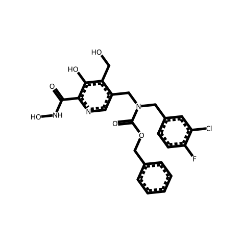 O=C(NO)c1ncc(CN(Cc2ccc(F)c(Cl)c2)C(=O)OCc2ccccc2)c(CO)c1O